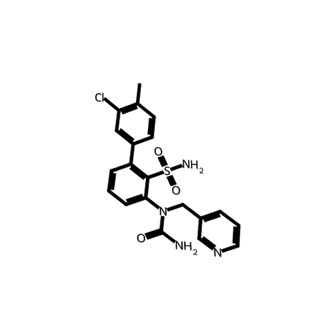 Cc1ccc(-c2cccc(N(Cc3cccnc3)C(N)=O)c2S(N)(=O)=O)cc1Cl